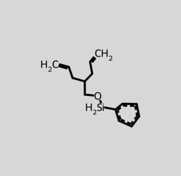 C=CCC(CC=C)CO[SiH2]c1ccccc1